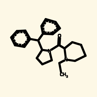 CCN1CCCCC1C(=O)N1CCCC1C(c1ccccc1)c1ccccc1